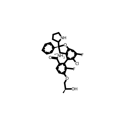 C[C@H](O)COc1ccc(C(N)=O)c(-c2c(Cl)c(F)cc3c2[C@H](C)[C@](c2ccccc2)(C2CCCN2)O3)c1F